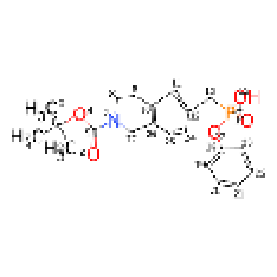 CC(C)(C)OC(=O)N1CCc2cc(CP(=O)(O)Oc3ccccc3)ccc2C1